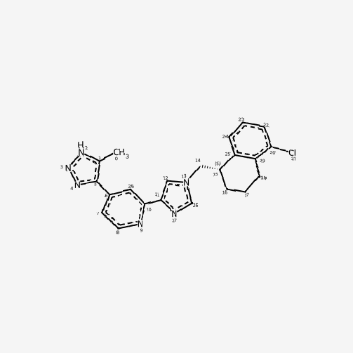 Cc1[nH]nnc1-c1ccnc(-c2cn(C[C@H]3CCCc4c(Cl)cccc43)cn2)c1